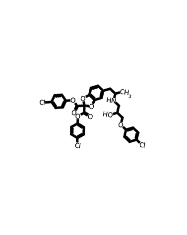 CC(Cc1ccc2c(c1)OC(C(=O)Oc1ccc(Cl)cc1)(C(=O)Oc1ccc(Cl)cc1)O2)NCC(O)COc1ccc(Cl)cc1